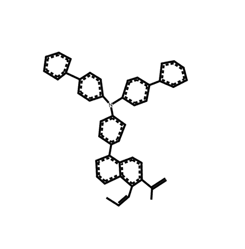 C=C(C)c1ccc2c(-c3ccc(N(c4ccc(-c5ccccc5)cc4)c4ccc(-c5ccccc5)cc4)cc3)cccc2c1/C=C\C